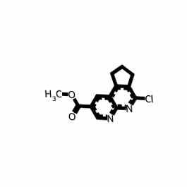 COC(=O)c1cnc2nc(Cl)c3c(c2c1)CCC3